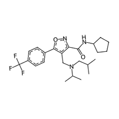 CC(C)CN(Cc1c(C(=O)NC2CCCC2)noc1-c1ccc(C(F)(F)F)cc1)C(C)C